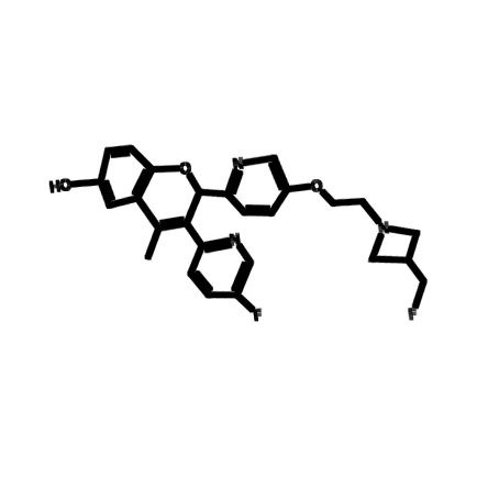 CC1=C(c2ccc(F)cn2)C(c2ccc(OCCN3CC(CF)C3)cn2)Oc2ccc(O)cc21